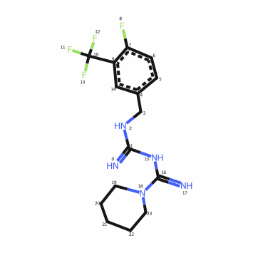 N=C(NCc1ccc(F)c(C(F)(F)F)c1)NC(=N)N1CCCCC1